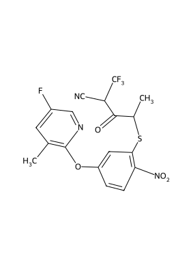 Cc1cc(F)cnc1Oc1ccc([N+](=O)[O-])c(SC(C)C(=O)C(C#N)C(F)(F)F)c1